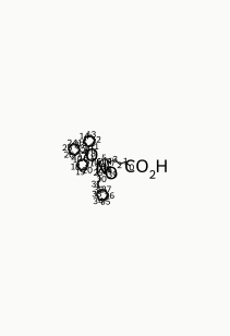 O=C(O)CCC[C@@H]1C[C@@H](COC(c2ccccc2)(c2ccccc2)c2ccccc2)N(CCCc2ccccc2)C1=O